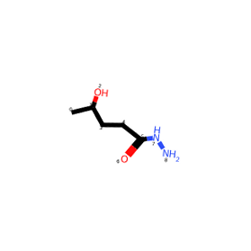 CC(O)CCC(=O)NN